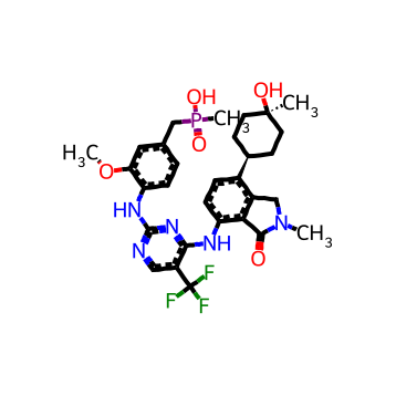 COc1cc(CP(C)(=O)O)ccc1Nc1ncc(C(F)(F)F)c(Nc2ccc([C@H]3CC[C@@](C)(O)CC3)c3c2C(=O)N(C)C3)n1